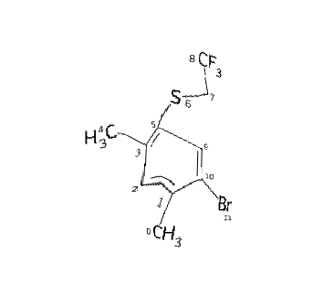 Cc1cc(C)c(SCC(F)(F)F)cc1Br